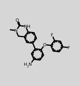 CN1Cc2cc(-c3cc(N)ccc3Oc3ccc(F)cc3F)ccc2NC1=O